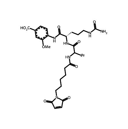 COc1cc(C(=O)O)ccc1NC(=O)[C@H](CCCNC(N)=O)NC(=O)C(NC(=O)CCCCCN1C(=O)C=CC1=O)C(C)C